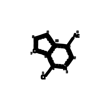 CC(=O)c1cnc(Cl)c2occc12